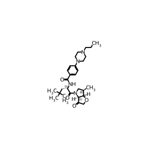 CCCN1CCN(c2ccc(C(=O)N[C@@H](CC(C)(C)C)C(=O)N3C[C@@H](C)[C@H]4OCC(=O)[C@H]43)cc2)CC1